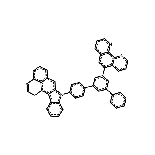 C1=Cc2cccc3cc4c(c(c23)C1)c1ccccc1n4-c1ccc(-c2cc(-c3ccccc3)cc(-c3cc4cccnc4c4ncccc34)c2)cc1